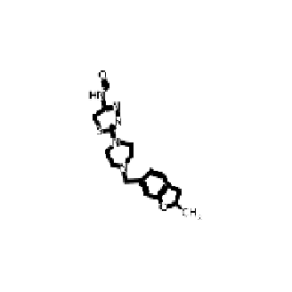 C[C@@H]1Cc2ccc(CN3CCN(C4=NN=C(NC=O)CS4)CC3)cc2O1